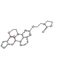 O=C1OCCN1CCOc1nc(N2CCOCC2)c2c(-c3cc4cccc-4co3)cccc2n1